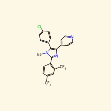 CCn1c(-c2ccc(C(F)(F)F)cc2C(F)(F)F)nc(-c2ccncc2)c1-c1ccc(Cl)cc1